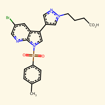 Cc1ccc(S(=O)(=O)n2cc(-c3cnn(CCCC(=O)O)c3)c3cc(Br)cnc32)cc1